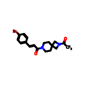 O=C(C=Cc1ccc(Br)cc1)N1CCC2(CC1)CN(C(=O)C(F)(F)F)C2